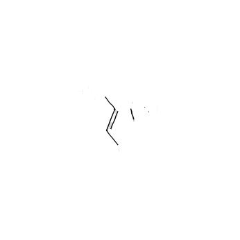 CCCC=CC(=O)O.CCO.N